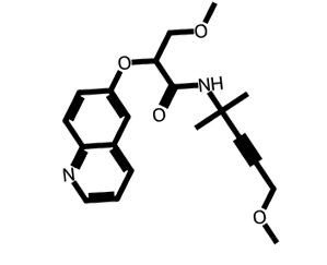 COCC#CC(C)(C)NC(=O)C(COC)Oc1ccc2ncccc2c1